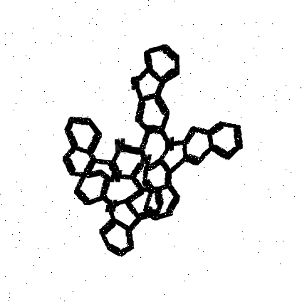 c1ccc(-n2c3ccccc3c3cccc(-c4nc(-c5cc6sc7ccccc7c6cc5-n5c6cc7ccccc7cc6c6c7ccccc7ccc65)nc(-c5cccc6ccccc56)n4)c32)cc1